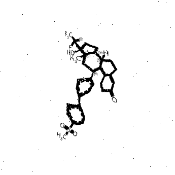 C[C@]12C[C@H](c3ccc(-c4ccc(S(C)(=O)=O)cc4)cc3)C3=C4CCC(=O)C=C4CC[C@H]3[C@@H]1CC[C@@]2(O)C(F)(F)C(F)(F)F